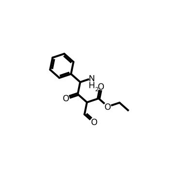 CCOC(=O)C(C=O)C(=O)C(N)c1ccccc1